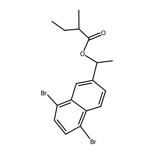 CCC(C)C(=O)OC(C)c1ccc2c(Br)ccc(Br)c2c1